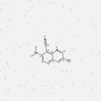 CN(C)c1ccc2cc(Cl)cnc2c1C#N